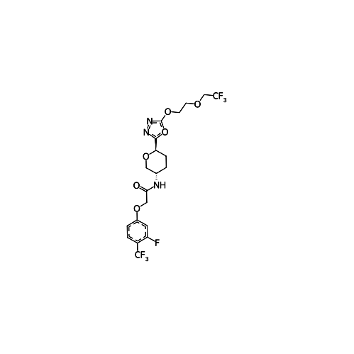 O=C(COc1ccc(C(F)(F)F)c(F)c1)N[C@H]1CC[C@H](c2nnc(OCCOCC(F)(F)F)o2)OC1